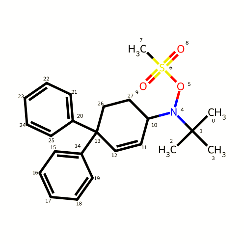 CC(C)(C)N(OS(C)(=O)=O)C1C=CC(c2ccccc2)(c2ccccc2)CC1